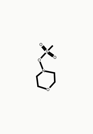 CS(=O)(=O)ON1CCOCC1